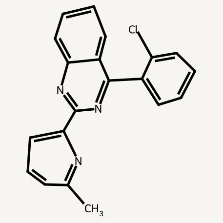 Cc1cccc(-c2nc(-c3ccccc3Cl)c3ccccc3n2)n1